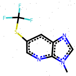 Cn1cnc2cc(SC(F)(F)F)cnc21